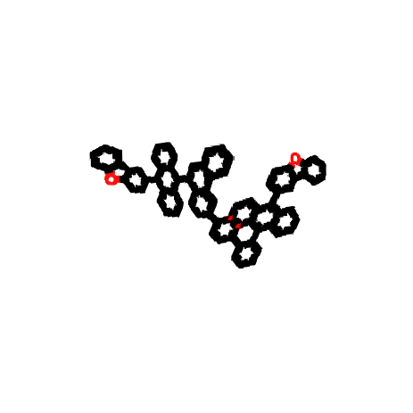 c1ccc(-c2c3ccccc3c(-c3ccc4oc5ccccc5c4c3)c3ccccc23)c(-c2ccc(-c3ccc4c(-c5c6ccccc6c(-c6ccc7oc8ccccc8c7c6)c6ccccc56)cc5ccccc5c4c3)cc2)c1